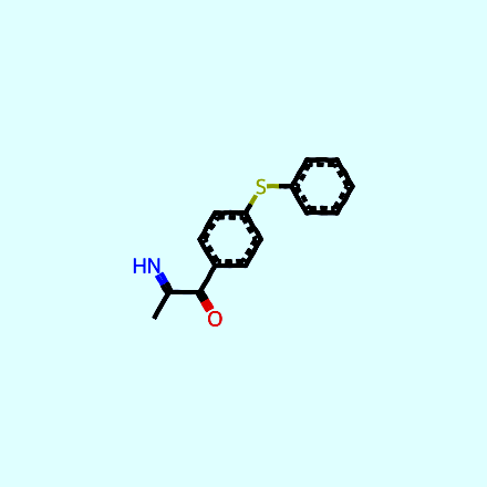 CC(=N)C(=O)c1ccc(Sc2ccccc2)cc1